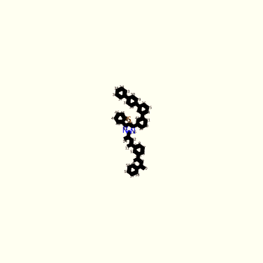 C=C(/C=C(\C)c1cccc(/C(C)=C/C(=C)c2nc(-c3cccc(-c4cccc(-c5ccc(-c6ccccc6)cc5)c4)c3)c3sc4ccccc4c3n2)c1)c1ccccc1